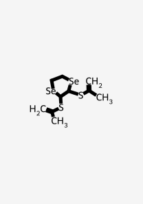 C=C(C)SC1[Se]CC[Se]C1SC(=C)C